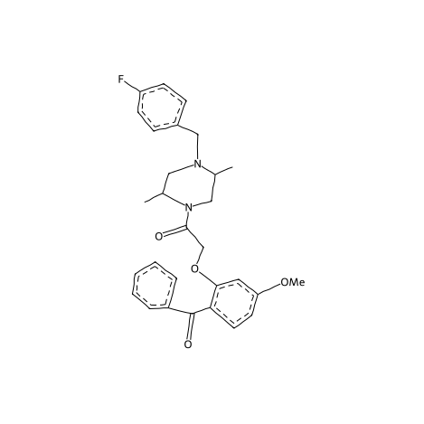 COc1ccc(C(=O)c2ccccc2)c(OCC(=O)N2CC(C)N(Cc3ccc(F)cc3)CC2C)c1